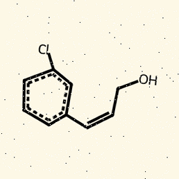 OC/C=C\c1cccc(Cl)c1